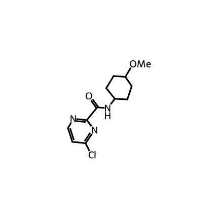 COC1CCC(NC(=O)c2nccc(Cl)n2)CC1